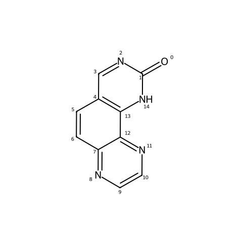 O=c1ncc2ccc3nccnc3c2[nH]1